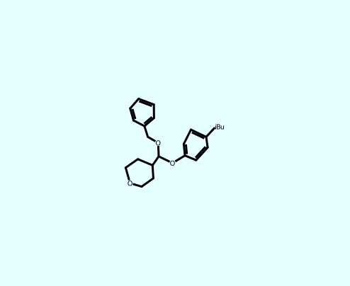 CCC(C)c1ccc(OC(OCc2ccccc2)C2CCOCC2)cc1